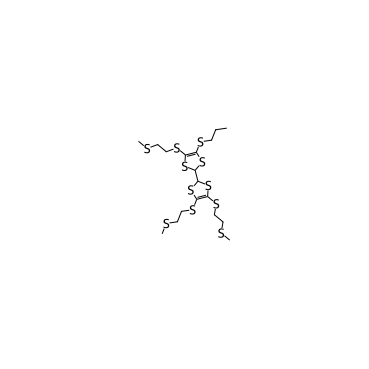 CCCSC1=C(SCCSC)SC(C2SC(SCCSC)=C(SCCSC)S2)S1